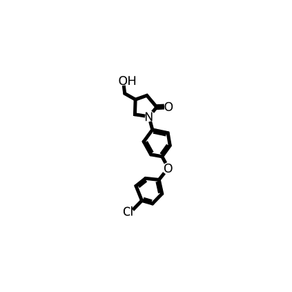 O=C1CC(CO)CN1c1ccc(Oc2ccc(Cl)cc2)cc1